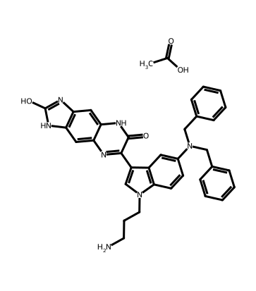 CC(=O)O.NCCCn1cc(-c2nc3cc4[nH]c(O)nc4cc3[nH]c2=O)c2cc(N(Cc3ccccc3)Cc3ccccc3)ccc21